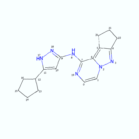 c1cn2nc3c(c2c(Nc2cc(C4CCCC4)[nH]n2)n1)CCC3